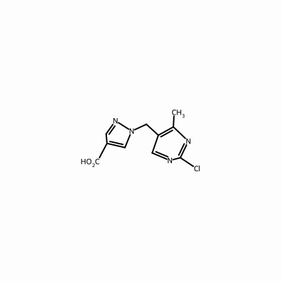 Cc1nc(Cl)ncc1Cn1cc(C(=O)O)cn1